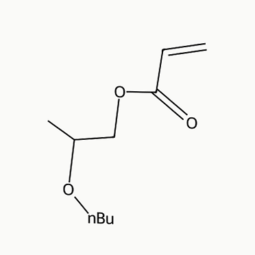 C=CC(=O)OCC(C)OCCCC